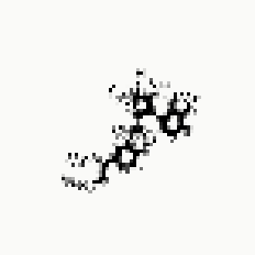 CN[C@@H](COC)c1cc(NC(=O)[C@@H]2O[C@@](C)(C(F)(F)F)[C@@H](C)[C@H]2c2ccc(F)c(F)c2OC)c(F)cn1